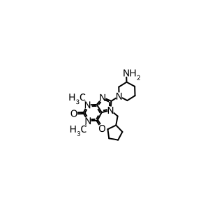 Cn1c(=O)c2c(nc(N3CCCC(N)C3)n2CC2CCCC2)n(C)c1=O